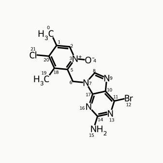 Cc1c[n+]([O-])c(Cn2cnc3c(Br)nc(N)nc32)c(C)c1Cl